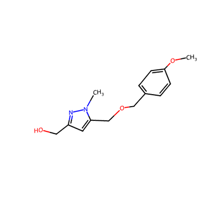 COc1ccc(COCc2cc(CO)nn2C)cc1